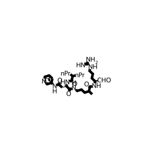 CCCC(CCC)C(=O)N[C@@H](CC(=O)NC1CN2CCC1CC2)C(=O)NCCCC(C)C(=O)N[C@H](C=O)CCCNC(=N)N